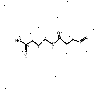 C=CCCC(=O)NCCCC(=O)O